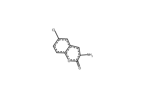 Nc1cc2cc(Cl)ccc2oc1=O